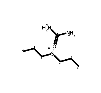 CCCSCCC.NC(N)=O